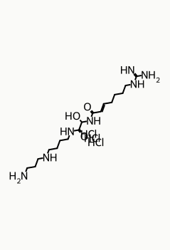 Cl.Cl.Cl.N=C(N)NCCCCC=CC(=O)NC(O)C(=O)NCCCCNCCCN